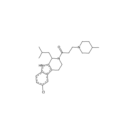 CC(C)CC1c2[nH]c3ccc(Cl)cc3c2CCN1C(=O)CCN1CCC(C)CC1